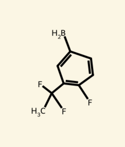 Bc1ccc(F)c(C(C)(F)F)c1